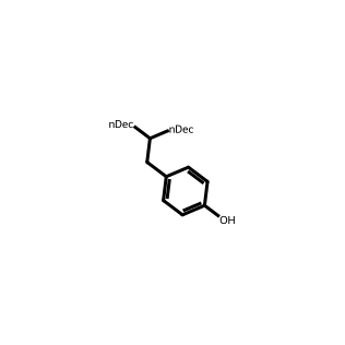 CCCCCCCCCCC(CCCCCCCCCC)Cc1ccc(O)cc1